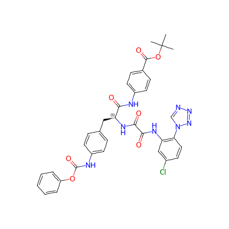 CC(C)(C)OC(=O)c1ccc(NC(=O)[C@H](Cc2ccc(NC(=O)Oc3ccccc3)cc2)NC(=O)C(=O)Nc2cc(Cl)ccc2-n2cnnn2)cc1